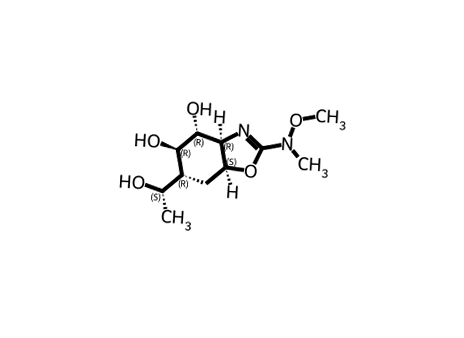 CON(C)C1=N[C@@H]2[C@@H](O)[C@H](O)[C@@H]([C@H](C)O)C[C@@H]2O1